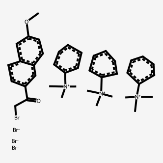 COc1ccc2cc(C(=O)CBr)ccc2c1.C[N+](C)(C)c1ccccc1.C[N+](C)(C)c1ccccc1.C[N+](C)(C)c1ccccc1.[Br-].[Br-].[Br-]